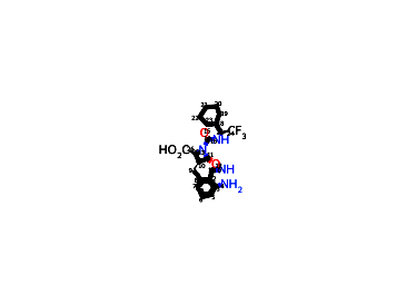 N=Cc1c(N)cccc1C[C@H]1C(=O)N(C(=O)N[C@@H](C2CCCCC2)C(F)(F)F)[C@@H]1C(=O)O